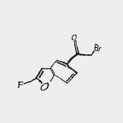 O=C(CBr)c1ccc2oc(F)cc2c1